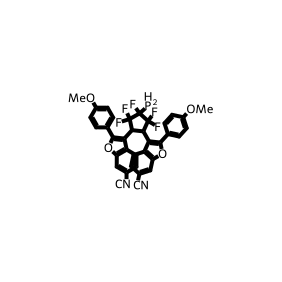 COc1ccc(-c2oc3cc(C#N)ccc3c2C2C(c3c(-c4ccc(OC)cc4)oc4cc(C#N)ccc34)C(F)(F)C(F)(P)C2(F)F)cc1